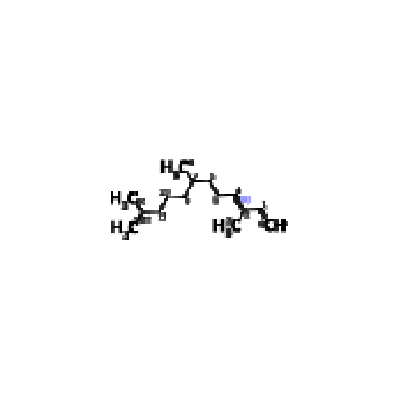 [CH]=C/C(C)=C/CCC(C)CCCC(C)C